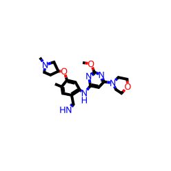 COc1nc(Nc2cc(OC3CCN(C)C3)c(C)cc2C=N)cc(N2CCOCC2)n1